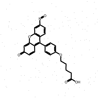 O=Nc1ccc2c(-c3ccc(OCCCCC(=O)O)cc3)c3ccc(=O)cc-3oc2c1